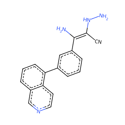 N#C/C(NN)=C(/N)c1cccc(-c2cccc3cnccc23)c1